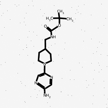 CC(C)(C)OC(=O)NCC1CCN(c2cnc(N)cn2)CC1